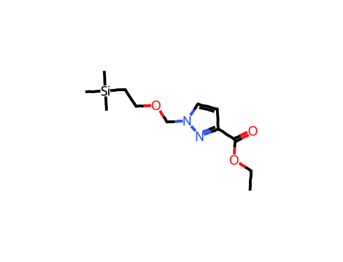 CCOC(=O)c1ccn(COCC[Si](C)(C)C)n1